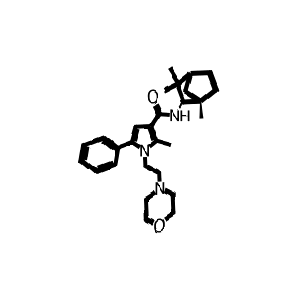 Cc1c(C(=O)N[C@@H]2C(C)(C)C3CC[C@@]2(C)C3)cc(-c2ccccc2)n1CCN1CCOCC1